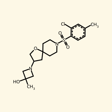 Cc1ccc(S(=O)(=O)N2CCC3(CC2)CC(N2CC(C)(O)C2)CO3)c(Cl)c1